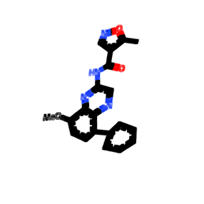 COc1ccc(-c2ccccc2)c2ncc(NC(=O)c3cnoc3C)nc12